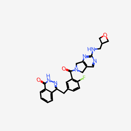 O=C(c1cc(Cc2n[nH]c(=O)c3ccccc23)ccc1F)N1Cc2cnc(NCC3COC3)nc2C1